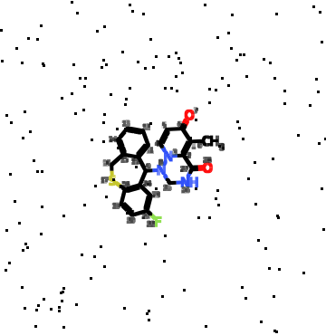 Cc1c2n(ccc1=O)N(C1c3ccccc3CSc3ccc(F)cc31)CNC2=O